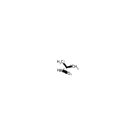 C[CH]C.[O]=[BiH]